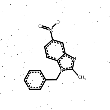 Cc1nc2cc([N+](=O)[O-])ccc2n1Cc1ccccc1